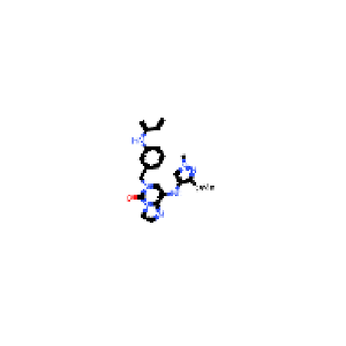 C=CC(=C)Nc1cccc(Cn2cc(Nc3cn(C)nc3OC)c3nccn3c2=O)c1